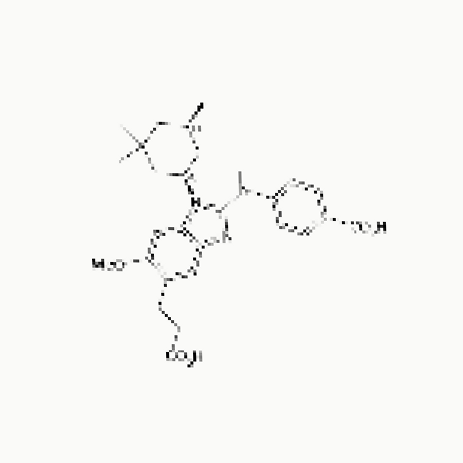 COc1cc2c(cc1CCC(=O)O)nc(Nc1ccc(C(=O)O)cc1)n2[C@@H]1C[C@H](C)CC(C)(C)C1